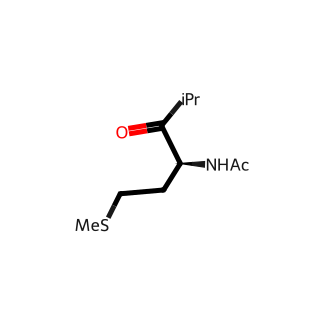 CSCC[C@H](NC(C)=O)C(=O)C(C)C